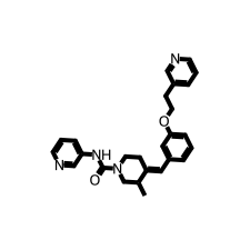 CC1CN(C(=O)Nc2cccnc2)CC/C1=C\c1cccc(OCCc2cccnc2)c1